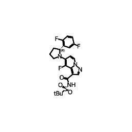 CC(C)(C)S(=O)(=O)NC(=O)c1cnn2ccc(N3CCC[C@@H]3c3cc(F)ccc3F)c(F)c12